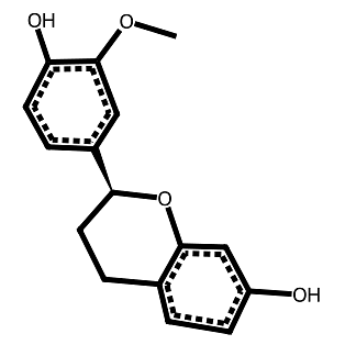 COc1cc([C@@H]2CCc3ccc(O)cc3O2)ccc1O